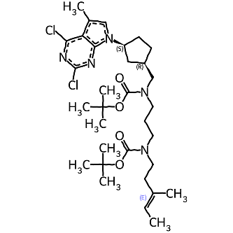 C/C=C(\C)CCN(CCCN(C[C@@H]1CC[C@H](n2cc(C)c3c(Cl)nc(Cl)nc32)C1)C(=O)OC(C)(C)C)C(=O)OC(C)(C)C